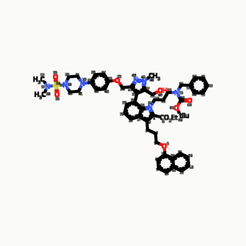 CCOC(=O)c1c(CCCOc2cccc3ccccc23)c2cccc(-c3c(COc4ccc(N5CCN(S(=O)(=O)N(C)C)CC5)cc4)nn(C)c3CO)c2n1CCCN(Cc1ccccc1)C(=O)OC(C)(C)C